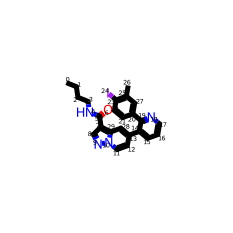 CCCCNC(=O)c1cnn2ccc(-c3cccnc3-c3ccc(I)c(C)c3)cc12